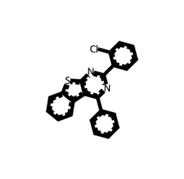 Clc1ccccc1-c1nc(-c2ccccc2)c2c(n1)sc1ccccc12